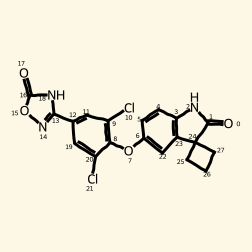 O=C1Nc2ccc(Oc3c(Cl)cc(-c4noc(=O)[nH]4)cc3Cl)cc2C12CCC2